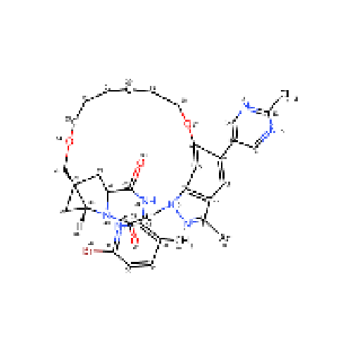 CC(=O)c1nn2c3cc(c(-c4cnc(C)nc4)cc13)OCCCCCCOC[C@@]13C[C@@H](C(=O)Nc4nc(Br)ccc4C)N(C(=O)C2)[C@@H]1C3